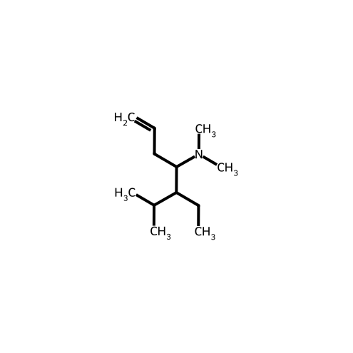 C=CCC(C(CC)C(C)C)N(C)C